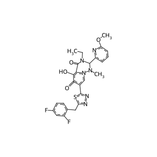 CCN1C(=O)c2c(O)c(=O)c(-c3nnc(Cc4ccc(F)cc4F)s3)cn2N(C)C1c1cccc(OC)n1